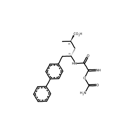 C[C@H](C[C@@H](Cc1ccc(-c2ccccc2)cc1)NC(=O)C(=N)OC(N)=O)C(=O)O